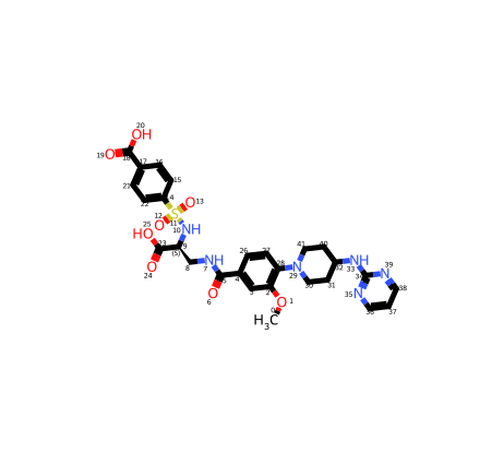 COc1cc(C(=O)NC[C@H](NS(=O)(=O)c2ccc(C(=O)O)cc2)C(=O)O)ccc1N1CCC(Nc2ncccn2)CC1